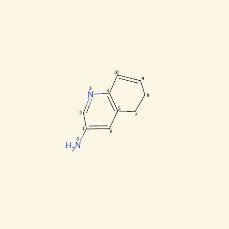 Nc1cnc2c(c1)CCC=C2